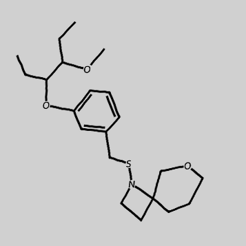 CCC(OC)C(CC)Oc1cccc(CSN2CCC23CCCOC3)c1